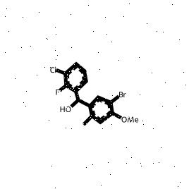 COc1cc(C)c(C(O)c2cccc(Cl)c2F)cc1Br